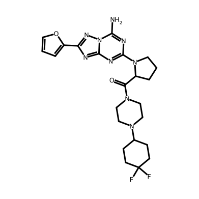 Nc1nc(N2CCCC2C(=O)N2CCN(C3CCC(F)(F)CC3)CC2)nc2nc(-c3ccco3)nn12